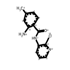 Cc1ccc(C(=O)Nc2cccnc2Cl)c(N)c1